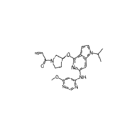 C=CC(=O)N1CCC(Oc2nc(Nc3cc(OC)ncn3)cc3c2ccn3C(C)C)C1